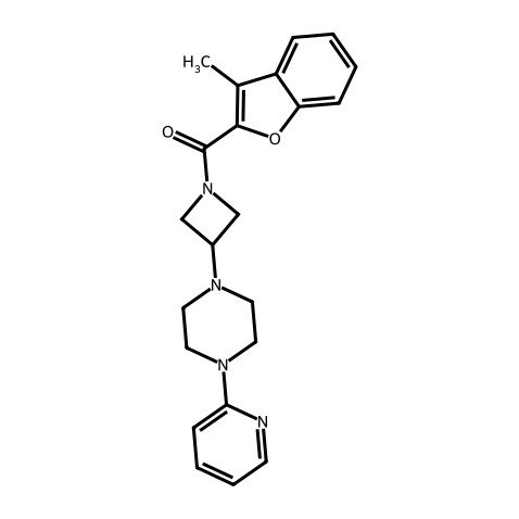 Cc1c(C(=O)N2CC(N3CCN(c4ccccn4)CC3)C2)oc2ccccc12